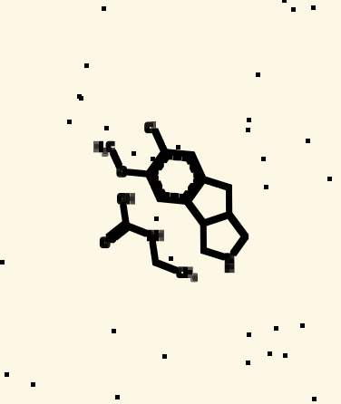 CCNC(=O)O.COc1cc2c(cc1Cl)CC1CNCC21